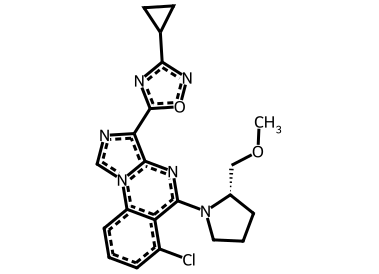 COC[C@@H]1CCCN1c1nc2c(-c3nc(C4CC4)no3)ncn2c2cccc(Cl)c12